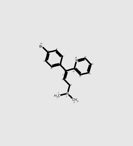 CN(C)C/C=C(/c1ccc(Br)cc1)c1ccccn1